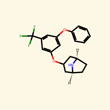 FC(F)(F)c1cc(Oc2ccccc2)cc(OC2C[C@H]3CC[C@@H](C2)N3)c1